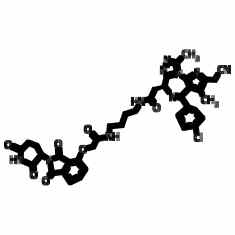 Cc1c(CC#N)sc2c1C(c1ccc(Cl)cc1)=N[C@@H](CC(=O)NCCCCNC(=O)COc1cccc3c1C(=O)N(C1CCC(=O)NC1=O)C3=O)c1nnc(C)n1-2